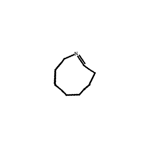 C1=N/CCCCCCC/1